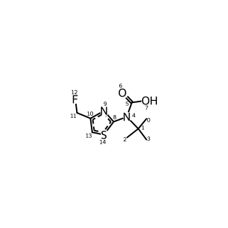 CC(C)(C)N(C(=O)O)c1nc(CF)cs1